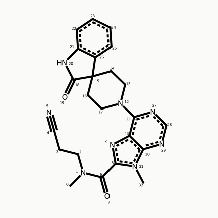 CN(CCC#N)C(=O)c1nc2c(N3CCC4(CC3)C(=O)Nc3ccccc34)ncnc2n1C